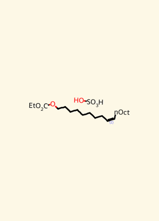 CCCCCCCC/C=C\CCCCCCCCOC(=O)OCC.O=S(=O)(O)O